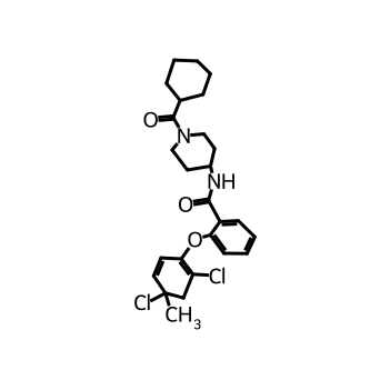 CC1(Cl)C=CC(Oc2ccccc2C(=O)NC2CCN(C(=O)C3CCCCC3)CC2)=C(Cl)C1